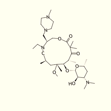 CCN1C[C@H](C)C[C@@](C)(OC)[C@H](O[C@@H]2O[C@H](C)C[C@H](N(C)C)[C@H]2O)[C@@H](C)C(=O)C(C)(C)C(=O)OC[C@@H]1CN1CCN(C)CC1